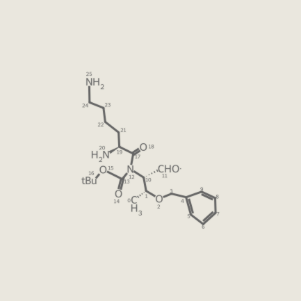 C[C@@H](OCc1ccccc1)[C@@H]([C]=O)N(C(=O)OC(C)(C)C)C(=O)[C@@H](N)CCCCN